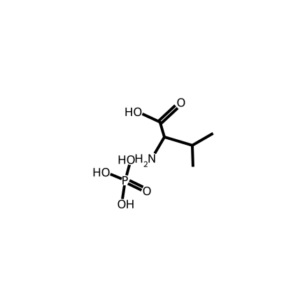 CC(C)C(N)C(=O)O.O=P(O)(O)O